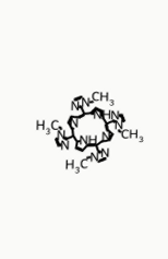 CCn1ccnc1/C1=C2\C=CC(N2)C(c2nccn2CC)C2=N/C(=C(/c3nccn3CC)c3ccc([nH]3)/C(c3nccn3CC)=C3/C=CC1=N3)C=C2